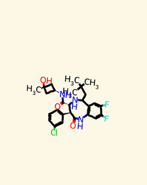 CC(C)(C)CC1N[C@@H](C(=O)N[C@H]2C[C@@](C)(O)C2)[C@H](c2cccc(Cl)c2)C(=O)Nc2cc(F)c(F)cc21